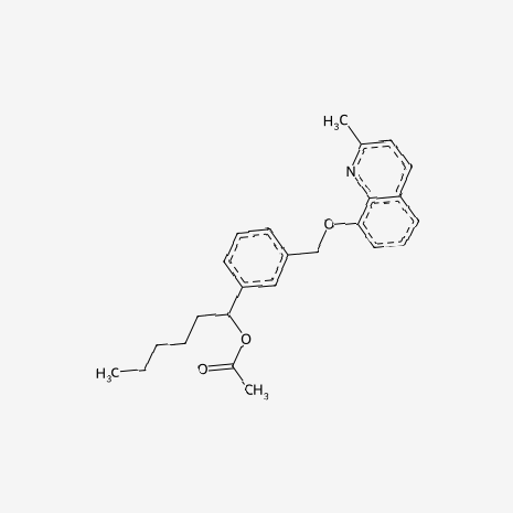 CCCCCC(OC(C)=O)c1cccc(COc2cccc3ccc(C)nc23)c1